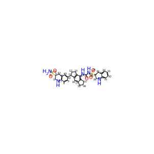 NS(=O)(=O)C1CNc2ccc(C3CCc4c3cc3c(c4NC(=O)NS(=O)(=O)C4CNc5ccccc5C4)CCC3)cc2C1